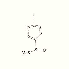 CS[S+]([O-])c1ccc(C)cc1